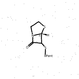 CCCCCSC1C(=O)N2CCS[C@H]12